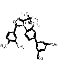 CCCCC(C)(C)c1nnc(-c2ccc(C)c(C)c2)n1-c1ccc(-c2cc(C(C)(C)C)cc(C(C)(C)C)c2)cc1C